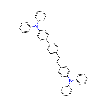 C(=C\c1ccc(N(c2ccccc2)c2ccccc2)cc1)/c1ccc(-c2ccc(N(c3ccccc3)c3ccccc3)cc2)cc1